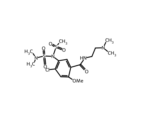 COc1cc(Cl)c(N(S(C)(=O)=O)S(=O)(=O)N(C)C)cc1C(=O)NCCN(C)C